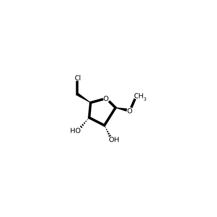 CO[C@@H]1O[C@H](CCl)[C@@H](O)[C@H]1O